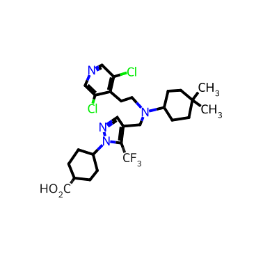 CC1(C)CCC(N(CCc2c(Cl)cncc2Cl)Cc2cnn(C3CCC(C(=O)O)CC3)c2C(F)(F)F)CC1